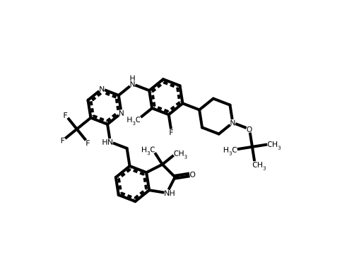 Cc1c(Nc2ncc(C(F)(F)F)c(NCc3cccc4c3C(C)(C)C(=O)N4)n2)ccc(C2CCN(OC(C)(C)C)CC2)c1F